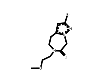 COCCN1CCc2cc(Br)nn2CC1=O